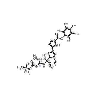 C=Cc1cc(-c2ccc(C(=O)Oc3c(F)c(F)c(F)c(F)c3I)[nH]2)sc1C(C)(C)N/C(=N/C(=O)OC(C)(C)C)NC